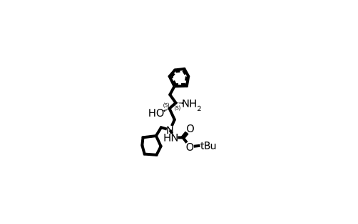 CC(C)(C)OC(=O)NN(CC1CCCCC1)C[C@H](O)[C@@H](N)Cc1ccccc1